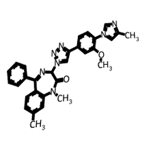 COc1cc(-c2cn(C3N=C(c4ccccc4)c4ccc(C)cc4N(C)C3=O)nn2)ccc1-n1cnc(C)c1